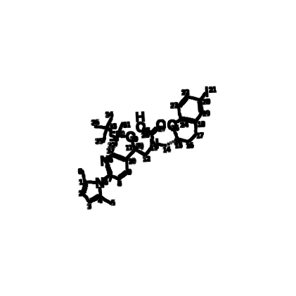 Cc1ccc(C)n1-c1ccc([C@H](CN(C[C@H]2CCc3cc(I)ccc3O2)C(=O)O)O[Si](C)(C)C(C)(C)C)cn1